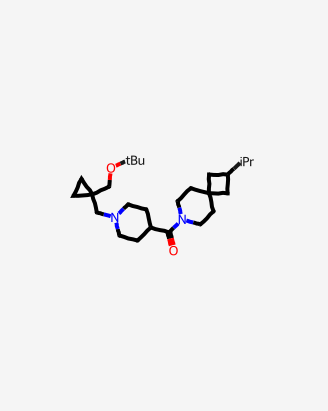 CC(C)C1CC2(CCN(C(=O)C3CCN(CC4(COC(C)(C)C)CC4)CC3)CC2)C1